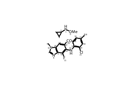 CONC1CC1.Cn1cnc2c(F)c(Nc3ccc(I)cc3Cl)c(C(=O)O)cc21